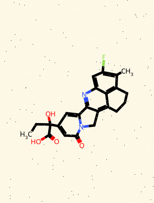 CCC(O)(C(=O)O)c1cc2n(c(=O)c1)Cc1c-2nc2cc(F)c(C)c3c2c1CCC3